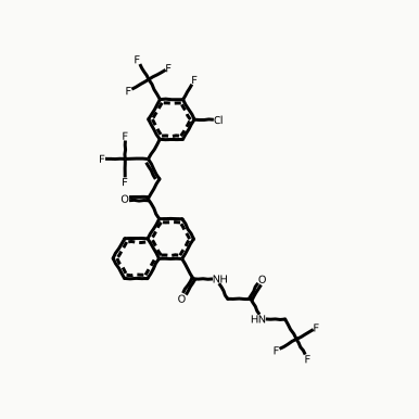 O=C(CNC(=O)c1ccc(C(=O)C=C(c2cc(Cl)c(F)c(C(F)(F)F)c2)C(F)(F)F)c2ccccc12)NCC(F)(F)F